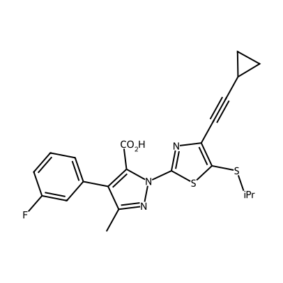 Cc1nn(-c2nc(C#CC3CC3)c(SC(C)C)s2)c(C(=O)O)c1-c1cccc(F)c1